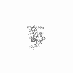 CC[C@H](C)[C@@H](C(CC(=O)N1CCC[C@H]1[C@H](OC)C(C)C(=O)N[C@@H](Cc1ccccc1)C(=O)O)OC)N(C)C(=O)[C@@H](NC(=O)[C@H](C(C)C)N(C)C(=O)OC(C)(C)C)C(C)C